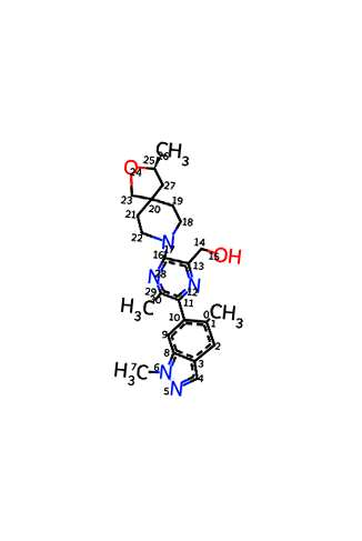 Cc1cc2cnn(C)c2cc1-c1nc(CO)c(N2CCC3(CC2)CO[C@@H](C)C3)nc1C